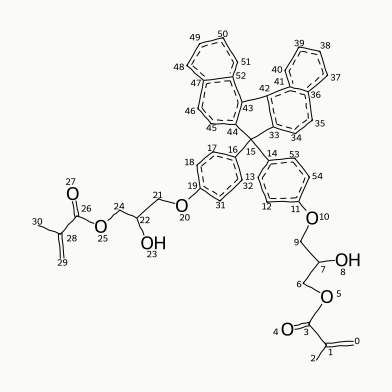 C=C(C)C(=O)OCC(O)COc1ccc(C2(c3ccc(OCC(O)COC(=O)C(=C)C)cc3)c3ccc4ccccc4c3-c3c2ccc2ccccc32)cc1